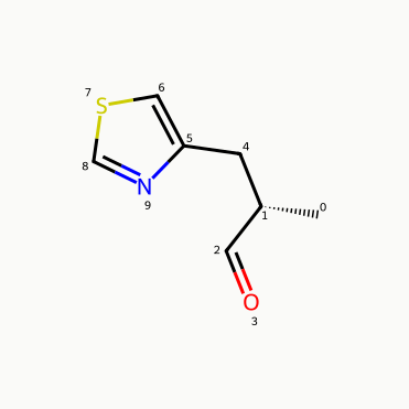 C[C@H](C=O)Cc1cscn1